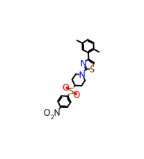 Cc1ccc(C)c(-c2csc(N3CCC(S(=O)(=O)c4ccc([N+](=O)[O-])cc4)CC3)n2)c1